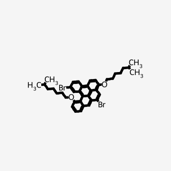 CC(C)CCCCCOc1ccc2c3ccc(Br)cc3c3c4c(OCCCCCC(C)C)cccc4cc4c(Br)cc1c2c43